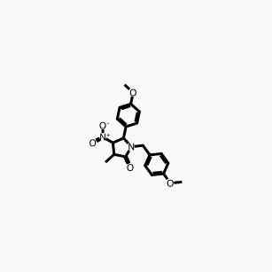 COc1ccc(CN2C(=O)C(C)C([N+](=O)[O-])C2c2ccc(OC)cc2)cc1